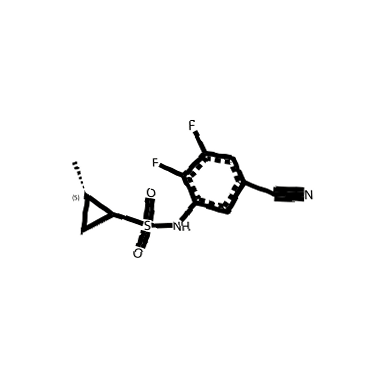 C[C@H]1CC1S(=O)(=O)Nc1cc(C#N)cc(F)c1F